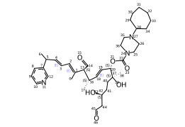 C/C(=C\C=C\C(C)c1cccnc1)[C@@H](C=O)[C@@H](C)/C=C/[C@H](OC(=O)N1CCN(C2CCCCCC2)CC1)[C@@](C)(O)CC[C@H](O)CC=O